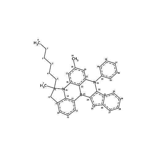 CCCCCCC1(C)Cc2cccc3c2N1c1cc(C)cc2c1B3c1oc3ccccc3c1N2c1ccccc1